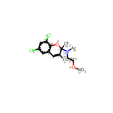 CCOC(=O)C1=Cc2cc(Cl)cc(Cl)c2OC1(N(CCO[N+](=O)[O-])C(C)=O)C(F)(F)F